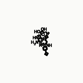 CN(C[C@H]1O[C@@H](N2CNC3C(N)NCNC32)[C@H](O)[C@@H]1O)C1CC(CCC2Nc3ccc(C4CCC4)cc3N2)C1